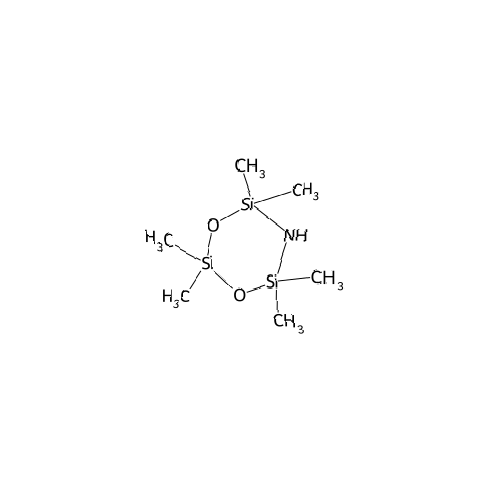 C[Si]1(C)N[Si](C)(C)O[Si](C)(C)O1